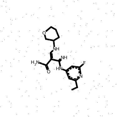 CCc1cc(NC(=N)/C(=C\NC2CCCOC2)C(N)=O)cc(F)n1